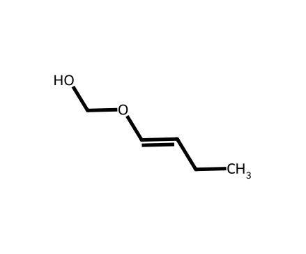 CCC=COCO